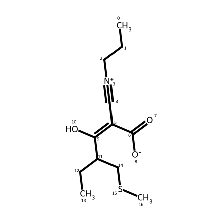 CCC[N+]#CC(C(=O)[O-])=C(O)C(CC)CSC